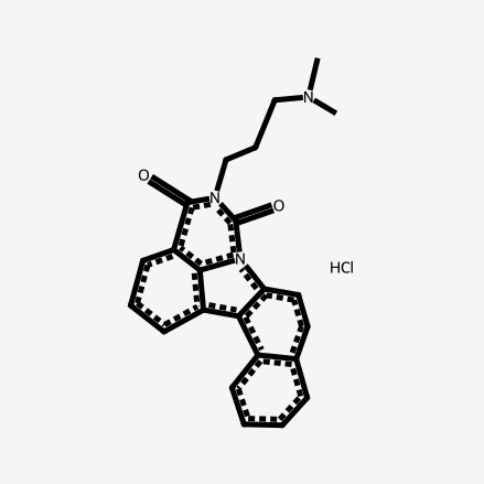 CN(C)CCCn1c(=O)c2cccc3c4c5ccccc5ccc4n(c1=O)c23.Cl